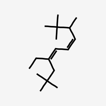 CC/C(=C/C=C\C(C)C(C)(C)C)CC(C)(C)C